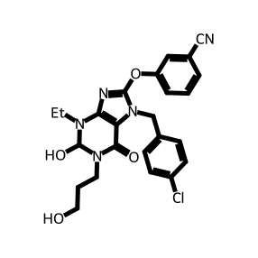 CCN1c2nc(Oc3cccc(C#N)c3)n(Cc3ccc(Cl)cc3)c2C(=O)N(CCCO)C1O